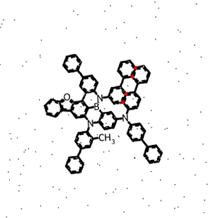 Cc1cc(-c2ccccc2)ccc1N1c2ccc(N(c3ccc(-c4ccccc4)cc3)c3ccc(-c4ccccc4)cc3)cc2B2c3c1cc1c(oc4ccccc41)c3-c1cc(-c3ccccc3)ccc1N2c1cccc(-c2ccccc2)c1